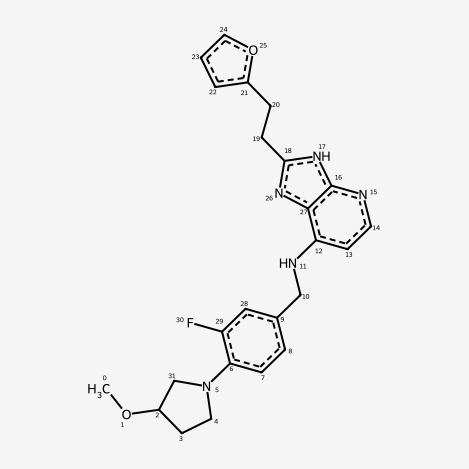 COC1CCN(c2ccc(CNc3ccnc4[nH]c(CCc5ccco5)nc34)cc2F)C1